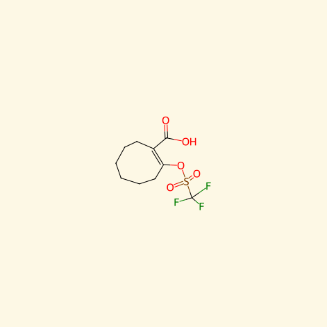 O=C(O)C1=C(OS(=O)(=O)C(F)(F)F)CCCCCC1